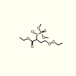 CCOOCCC(C(=O)OCC)[S+]([O-])P(=S)(OC)OC